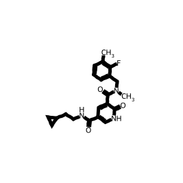 Cc1cccc(CN(C)C(=O)c2cc(C(=O)NCCC3CC3)c[nH]c2=O)c1F